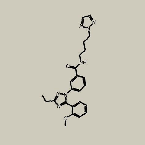 CCc1nc(-c2ccccc2OC)n(-c2cccc(C(=O)NCCCCn3nccn3)c2)n1